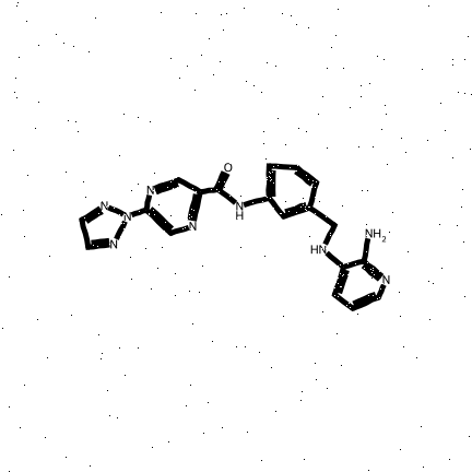 Nc1ncccc1NCc1cccc(NC(=O)c2cnc(-n3nccn3)cn2)c1